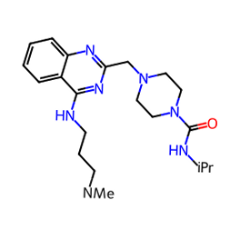 CNCCCNc1nc(CN2CCN(C(=O)NC(C)C)CC2)nc2ccccc12